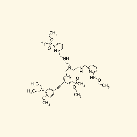 CCOPc1cccc(CNCCN(CCNCc2cccc(P(C)(=O)OCC)n2)Cc2cc(C#Cc3ccc(OC)c(N(CC)CC)c3)cc(P(C)(=O)OCC)n2)n1